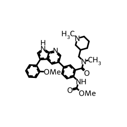 COC(=O)Nc1ccc(-c2cnc3[nH]cc(-c4ccccc4OC)c3c2)cc1C(=O)N(C)CC1CCCN(C)C1